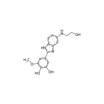 COc1cc(-c2nc3cc(NCCO)ccc3[nH]2)cc(O)c1O